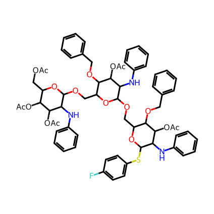 CC(=O)OCC1OC(OCC2OC(OCC3OC(Sc4ccc(F)cc4)C(Nc4ccccc4)C(OC(C)=O)C3OCc3ccccc3)C(Nc3ccccc3)C(OC(C)=O)C2OCc2ccccc2)C(Nc2ccccc2)C(OC(C)=O)C1OC(C)=O